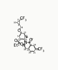 CCS(=O)(=O)c1cc(OCC2CC2C(F)(F)F)cnc1-n1ncc2ccc(C(F)(F)F)cc2c1=O